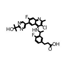 Cc1nc2cc(F)c(-c3cnc(C(C)(C)O)nc3)cc2c(NC(C)c2cc(CCC(=O)O)ccc2F)c1Cl